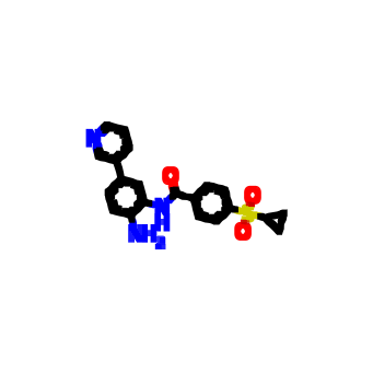 Nc1ccc(-c2cccnc2)cc1NC(=O)c1ccc(S(=O)(=O)C2CC2)cc1